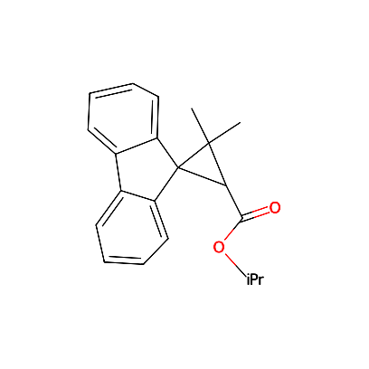 CC(C)OC(=O)C1C(C)(C)C12c1ccccc1-c1ccccc12